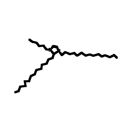 CCCCCCCCCCCCCCCN1C=CN(CCCCCC)C1CCCCCCCCCCCCCC